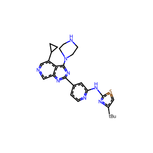 CC(C)(C)c1csc(Nc2cc(-c3nc(N4CCNCC4)c4c(C5CC5)cncc4n3)ccn2)n1